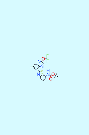 Cc1cc(-c2nc3cccc(NC(=O)OC(C)(C)C)c3s2)c2ncc(OC(F)F)nc2c1